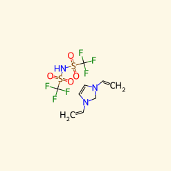 C=CN1C=CN(C=C)C1.O=S(=O)(NS(=O)(=O)C(F)(F)F)C(F)(F)F